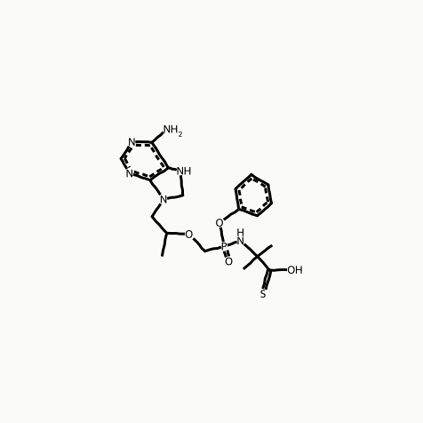 CC(CN1CNc2c(N)ncnc21)OCP(=O)(NC(C)(C)C(O)=S)Oc1ccccc1